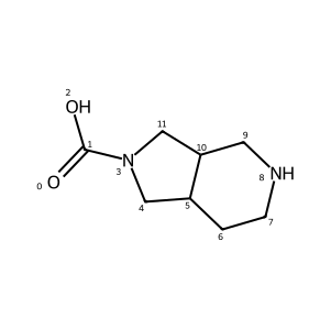 O=C(O)N1CC2CCNCC2C1